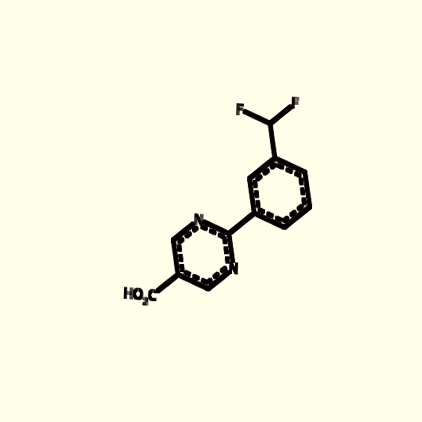 O=C(O)c1cnc(-c2cccc(C(F)F)c2)nc1